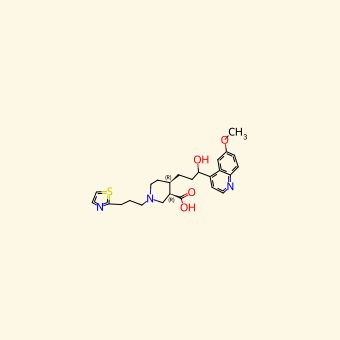 COc1ccc2nccc(C(O)CC[C@@H]3CCN(CCCc4nccs4)C[C@@H]3C(=O)O)c2c1